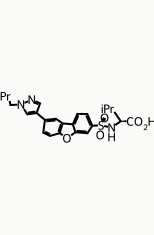 CC(C)Cn1cc(-c2ccc3oc4cc(S(=O)(=O)N[C@H](C(=O)O)C(C)C)ccc4c3c2)cn1